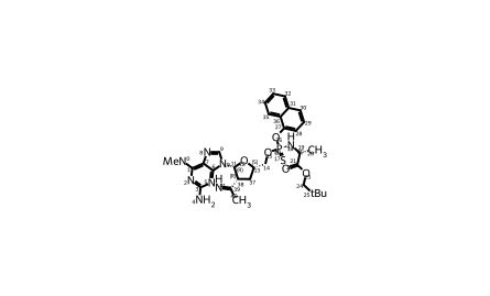 CNc1nc(N)nc2c1ncn2[C@@H]1O[C@H](CO[P@@](=S)(N[C@H](C)C(=O)OCC(C)(C)C)Oc2cccc3ccccc23)C[C@@H]1C(C)=N